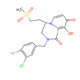 CS(=O)(=O)CCC1CN(Cc2ccc(Cl)c(Cl)c2)C(=O)c2c(O)c(=O)ccn21